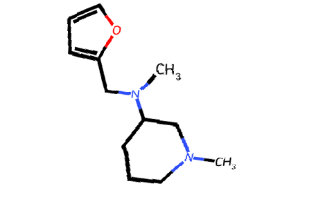 CN1CCCC(N(C)Cc2ccco2)C1